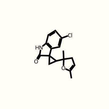 CC1=CCC(C)(C2CC23C(=O)Nc2ccc(Cl)cc23)O1